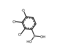 [O]c1ccc(B(O)O)c(Cl)c1Cl